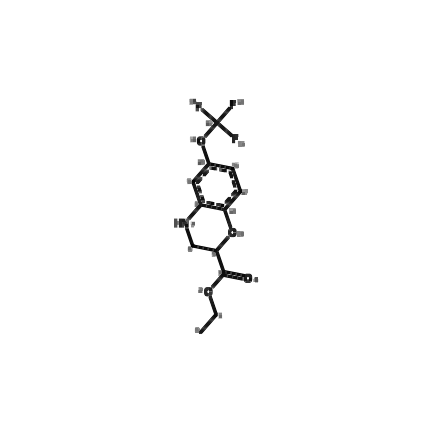 CCOC(=O)C1CNc2cc(OC(F)(F)F)ccc2O1